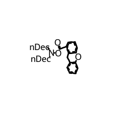 CCCCCCCCCCN(CCCCCCCCCC)OC(=O)c1cccc2c1Cc1ccccc1O2